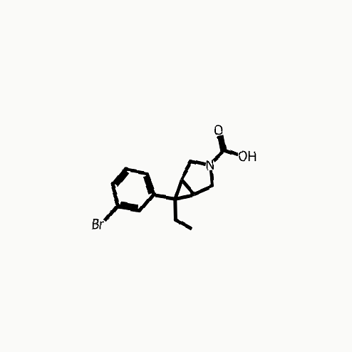 CCC1(c2cccc(Br)c2)C2CN(C(=O)O)CC21